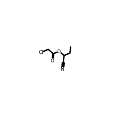 CCC(C#N)OC(=O)CCl